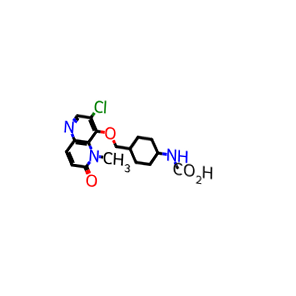 Cn1c(=O)ccc2ncc(Cl)c(OCC3CCC(NC(=O)O)CC3)c21